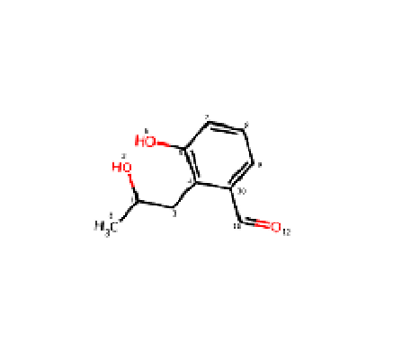 CC(O)Cc1c(O)cccc1C=O